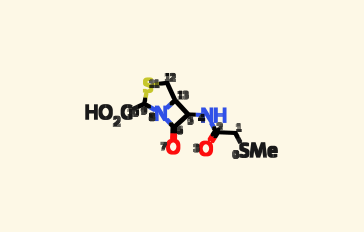 CSCC(=O)NC1C(=O)N2C(C(=O)O)SCC12